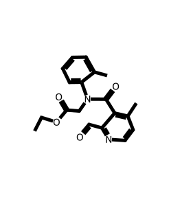 CCOC(=O)CN(C(=O)c1c(C)ccnc1C=O)c1ccccc1C